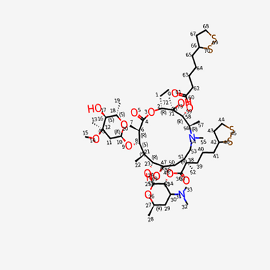 CC[C@H]1OC(=O)[C@H](C)[C@@H](O[C@H]2C[C@@](C)(OC)[C@@H](O)[C@H](C)O2)[C@H](C)[C@@H](O[C@@H]2O[C@H](C)CC(N(C)C)[C@H]2OC(=O)CCCCC2CCSS2)[C@](C)(O)C[C@@H](C)CN(C)[C@H](C)[C@@H](OC(=O)CCCCC2CCSS2)[C@]1(C)O